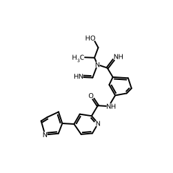 CC(CO)N(C=N)C(=N)c1cccc(NC(=O)c2cc(-c3cccnc3)ccn2)c1